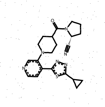 N#C[C@H]1CCCN1C(=O)C1CCN(c2cnccc2-c2nnc(C3CC3)s2)CC1